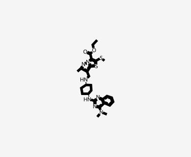 CCOC(=O)c1c(SC)sc2c(CN[C@H]3CC[C@@H](Nc4nc(N(C)C)c5ccccc5n4)CC3)c(C)nn12